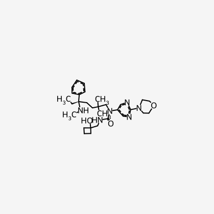 CC[C@@](CCC(C)(C)CN(C(=O)NCC1(O)CCC1)c1cnc(N2CCOCC2)nc1)(NC)c1ccccc1